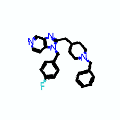 Fc1ccc(Cn2c(CC3CCN(Cc4ccccc4)CC3)nc3cnccc32)cc1